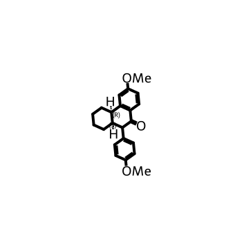 COc1ccc(C2C(=O)c3ccc(OC)cc3[C@@H]3CCCC[C@H]23)cc1